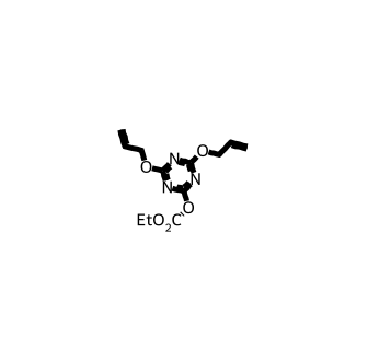 C=CCOc1nc(OCC=C)nc(OC(=O)OCC)n1